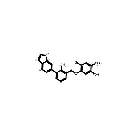 Cc1c(COc2cc(O)c(C=O)cc2Cl)cccc1-c1ccc2ccoc2c1